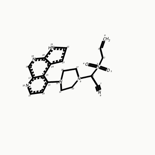 C=CCS(=O)(=O)C(C#N)N1CCN(c2ccnc3cnc4[nH]ccc4c23)CC1